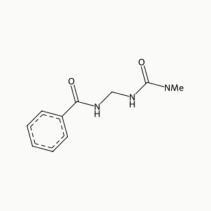 CNC(=O)NCNC(=O)c1ccccc1